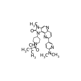 CN(C)c1ccc(-c2ccc3ncc4c(c3n2)n(C2CCN(C(=O)C(C)(C)C)CC2)c(=O)n4C)cn1